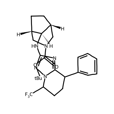 CC(C)(C)OC(=O)N1C[C@H]2CC[C@@H](C1)[C@@H]2Nc1nc2n(n1)C(C(F)(F)F)CCC2c1ccccc1